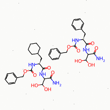 NC(=O)C(NC(=O)[C@H](CC1CCCCC1)NC(=O)OCc1ccccc1)C(O)O.NC(=O)C(NC(=O)[C@H](Cc1ccccc1)NC(=O)OCc1ccccc1)C(O)O